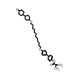 C=C(C)C(=O)Oc1ccc(-c2ccc(OCCCCCCCCCCCCOC3CCC(C4CCC(=O)CC4)CC3)cc2)cc1